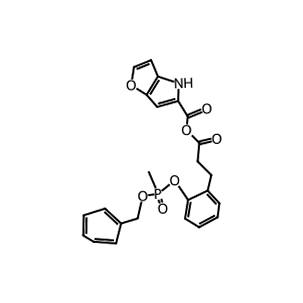 CP(=O)(OCc1ccccc1)Oc1ccccc1CCC(=O)OC(=O)c1cc2occc2[nH]1